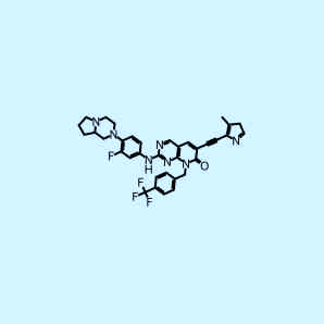 CC1=C(C#Cc2cc3cnc(Nc4ccc(N5CCN6CCCC6C5)c(F)c4)nc3n(Cc3ccc(C(F)(F)F)cc3)c2=O)N=CC1